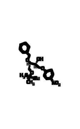 CC(C)(C)[Si](C)(C)OC[C@H](OCc1ccccc1)[C@H](O)COc1ccc([N+](=O)[O-])cc1